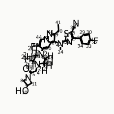 [2H]C1([2H])N(CC(=O)N2CC(O)C2)C([2H])([2H])C([2H])([2H])N(c2cc3c(N(C)c4nc(-c5ccc(F)cc5)c(C#N)s4)c(CC)nn3cc2F)C1([2H])[2H]